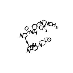 CN1CCN(Cc2ccc(NC(=O)c3cncc(C#Cc4cnc5ccc(N6CCC7(CCOC7)CC6)nn45)c3)cc2C(F)(F)F)CC1